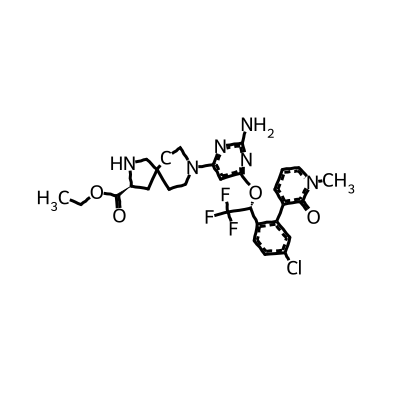 CCOC(=O)[C@@H]1CC2(CCN(c3cc(O[C@H](c4ccc(Cl)cc4-c4cccn(C)c4=O)C(F)(F)F)nc(N)n3)CC2)CN1